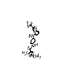 Cc1nn(C)cc1C(=O)N[C@H]1CC[C@@H](Nc2cccc3nc(C(F)(F)F)cn23)CC1